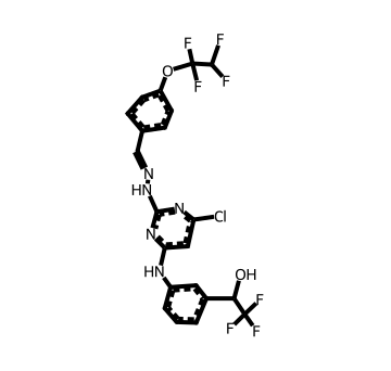 OC(c1cccc(Nc2cc(Cl)nc(N/N=C/c3ccc(OC(F)(F)C(F)F)cc3)n2)c1)C(F)(F)F